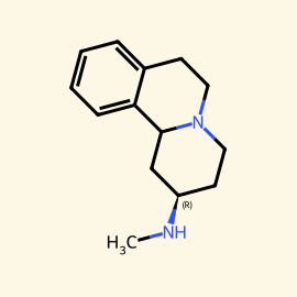 CN[C@@H]1CCN2CCc3ccccc3C2C1